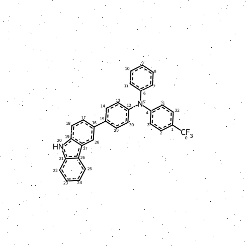 FC(F)(F)c1ccc(N(c2ccccc2)c2ccc(-c3ccc4[nH]c5ccccc5c4c3)cc2)cc1